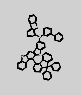 c1ccc(-c2cccc(N(c3ccc4oc5c(-c6cccc7c6-c6ccccc6C7(c6ccccc6)c6ccccc6)c6c(cc5c4c3)oc3ccccc36)c3cccc4c3sc3ccccc34)c2)cc1